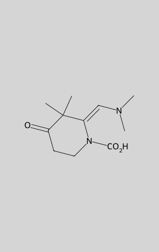 CN(C)C=C1N(C(=O)O)CCC(=O)C1(C)C